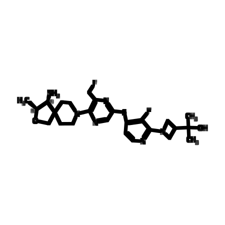 C[C@@H]1OCC2(CCN(c3ncc(Sc4ccnc(N5CC(C(C)(C)O)C5)c4F)nc3CF)CC2)[C@@H]1N